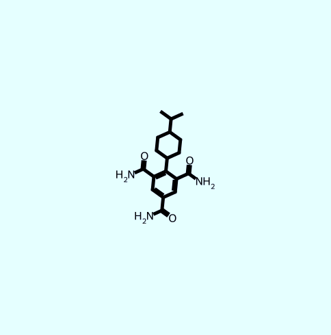 CC(C)C1CCC(c2c(C(N)=O)cc(C(N)=O)cc2C(N)=O)CC1